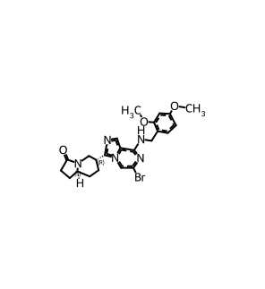 COc1ccc(CNc2nc(Br)cn3c([C@@H]4CC[C@H]5CCC(=O)N5C4)ncc23)c(OC)c1